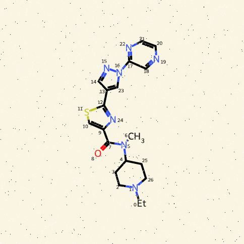 CCN1CCC(N(C)C(=O)c2csc(-c3cnn(-c4cnccn4)c3)n2)CC1